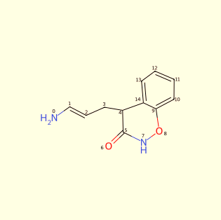 NC=CCC1C(=O)NOc2ccccc21